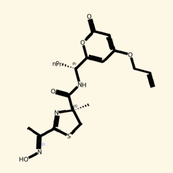 C=CCOc1cc([C@@H](CCC)NC(=O)[C@@]2(C)CSC(/C(C)=N/O)=N2)oc(=O)c1